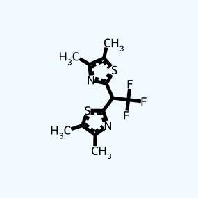 Cc1nc([C](c2nc(C)c(C)s2)C(F)(F)F)sc1C